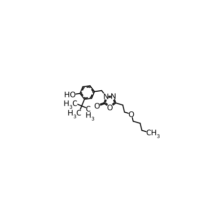 CCCCOCCc1nn(Cc2ccc(O)c(C(C)(C)C)c2)c(=O)o1